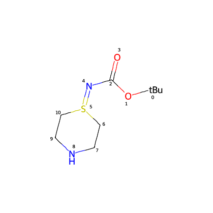 CC(C)(C)OC(=O)N=S1CCNCC1